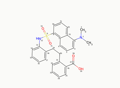 CN(C)c1cccc2c(S(=O)(=O)Nc3ccccc3CCc3ccccc3C(=O)O)cccc12